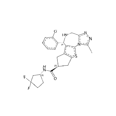 Cc1nnc2n1-c1sc3c(c1[C@H](c1ccccc1Cl)NC2)C[C@H](C(=O)N[C@@H]1CCC(F)(F)C1)C3